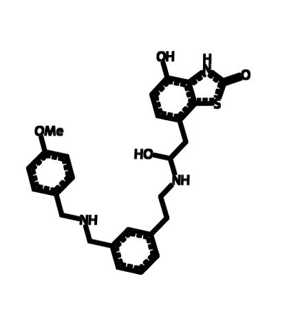 COc1ccc(CNCc2cccc(CCNC(O)Cc3ccc(O)c4[nH]c(=O)sc34)c2)cc1